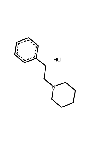 Cl.c1ccc(CCN2CCCCC2)cc1